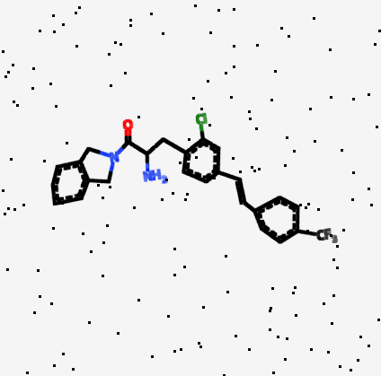 NC(Cc1ccc(C=Cc2ccc(C(F)(F)F)cc2)cc1Cl)C(=O)N1Cc2ccccc2C1